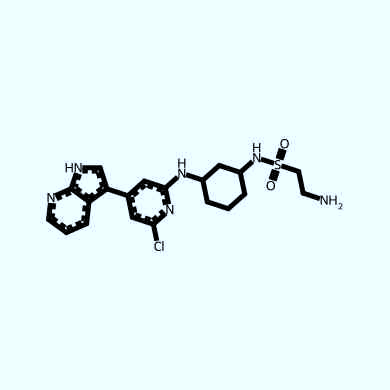 NCCS(=O)(=O)NC1CCCC(Nc2cc(-c3c[nH]c4ncccc34)cc(Cl)n2)C1